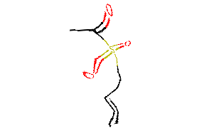 C=CCS(=O)(=O)C(C)=O